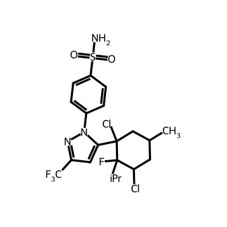 CC1CC(Cl)C(F)(C(C)C)C(Cl)(c2cc(C(F)(F)F)nn2-c2ccc(S(N)(=O)=O)cc2)C1